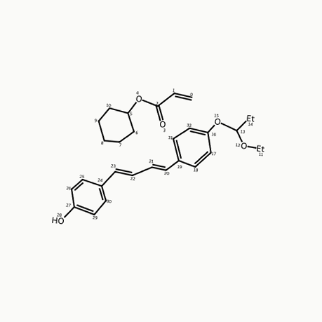 C=CC(=O)OC1CCCCC1.CCOC(CC)Oc1ccc(C=CC=Cc2ccc(O)cc2)cc1